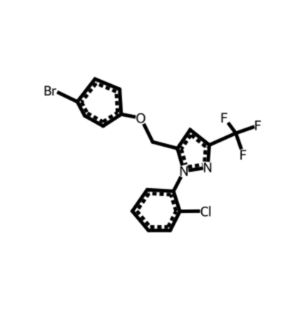 FC(F)(F)c1cc(COc2ccc(Br)cc2)n(-c2ccccc2Cl)n1